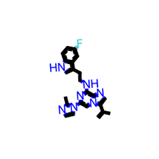 C=C(C)c1cnc2c(NCCc3c[nH]c4ccc(F)cc34)nc(-n3ccnc3C)cn12